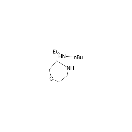 C1COCCN1.CCCCNCC